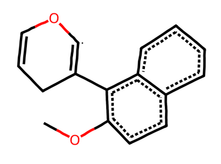 COc1ccc2ccccc2c1C1=[C]OC=CC1